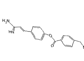 N=C(N)C=Cc1ccc(OC(=O)c2ccc(CN)cc2)cc1